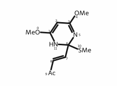 COC1=CC(OC)=NC(C=CC(C)=O)(SC)N1